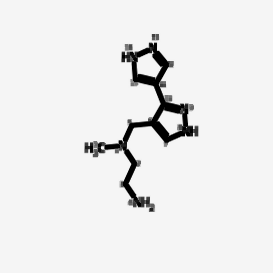 CN(CCN)Cc1c[nH]nc1-c1cn[nH]c1